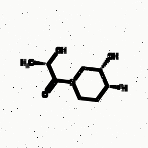 [2H][C@@H]1CCN(C(=O)[C@H](C)O)C[C@@H]1O